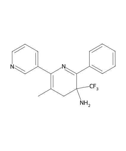 CC1=C(c2cccnc2)N=C(c2ccccc2)C(N)(C(F)(F)F)C1